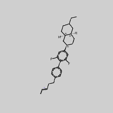 C/C=C/CCc1ccc(-c2c(F)cc([C@@H]3CC[C@@H]4CC(CC)CC[C@@H]4C3)cc2F)cc1